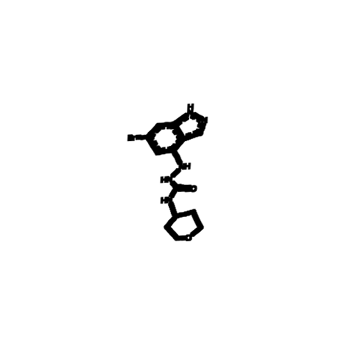 O=C(NNc1cc(Br)cc2[nH]ncc12)NC1CCOCC1